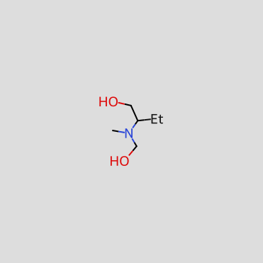 CCC(CO)N(C)CO